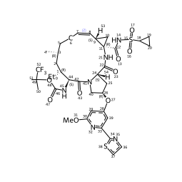 CC[C@@H]1C[C@H](C)CC/C=C\[C@@H]2C[C@@]2(C(=O)NS(=O)(=O)C2CC2)NC(=O)[C@@H]2C[C@@H](Oc3cc(OC)nc(-c4nccs4)c3)CN2C(=O)[C@H]1NC(=O)OC(C)(C)C(F)(F)F